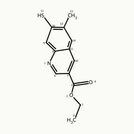 CCOC(=O)c1cnc2cc(S)c(C)cc2c1